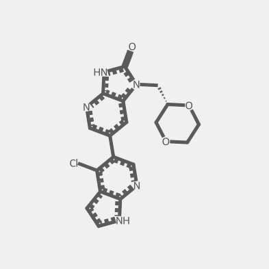 O=c1[nH]c2ncc(-c3cnc4[nH]ccc4c3Cl)cc2n1C[C@H]1COCCO1